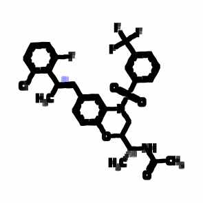 CC(=O)N[C@H](C)C1CN(S(=O)(=O)c2cccc(C(F)(F)F)c2)c2cc(/C=C(\C)c3c(F)cccc3Cl)ccc2O1